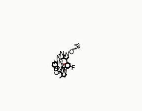 Cc1ccn2nc([C@H](C)Nc3ncnc4c3c(-c3cc(N)cc(F)c3)cn4COCC[Si](C)(C)C)n(-c3ccccc3)c(=O)c12